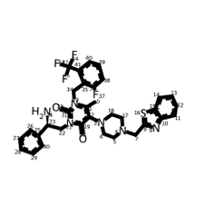 Cc1c(N2CCN(Cc3nc4ccccc4s3)CC2)c(=O)n(C[C@H](N)c2ccccc2)c(=O)n1Cc1c(F)cccc1C(F)(F)F